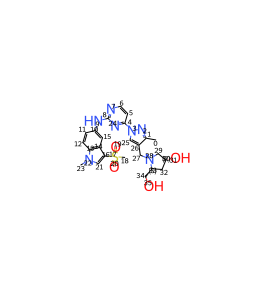 Cc1nn(-c2ccnc(Nc3ccc4c(c3)c(S(C)(=O)=O)cn4C)n2)cc1CN1C[C@H](O)C[C@H]1CO